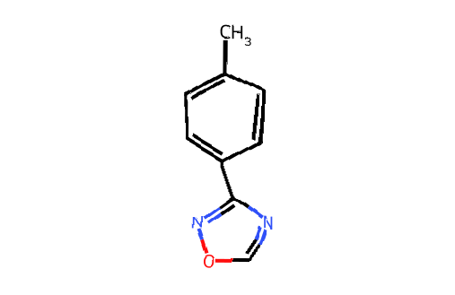 Cc1ccc(-c2ncon2)cc1